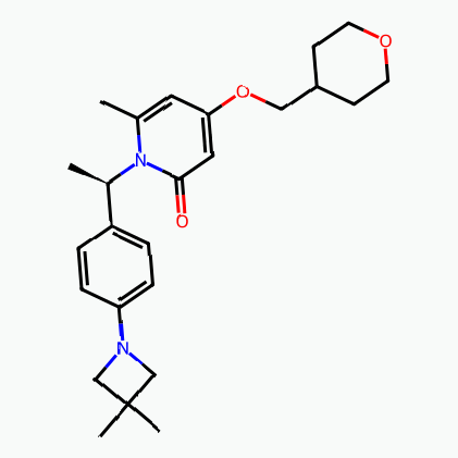 Cc1cc(OCC2CCOCC2)cc(=O)n1[C@H](C)c1ccc(N2CC(C)(C)C2)cc1